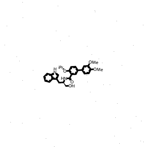 COc1ccc(-c2ccc(OC(C)C)c(C(=O)N[C@@H](CO)Cc3c[nH]c4ccccc34)c2)cc1OC